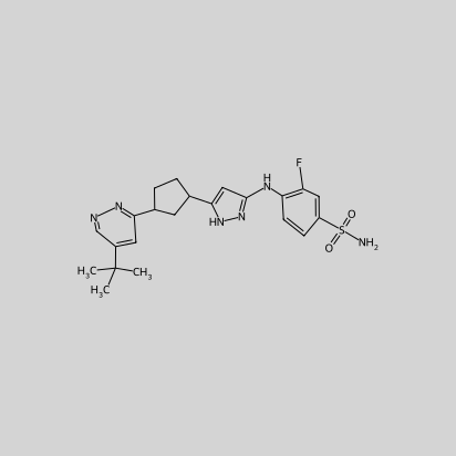 CC(C)(C)c1cnnc(C2CCC(c3cc(Nc4ccc(S(N)(=O)=O)cc4F)n[nH]3)C2)c1